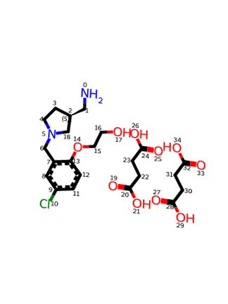 NC[C@@H]1CCN(Cc2cc(Cl)ccc2OCCO)C1.O=C(O)CCC(=O)O.O=C(O)CCC(=O)O